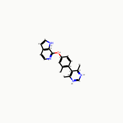 Cc1cc(Oc2nccc3cc[nH]c23)ccc1-c1c(C)ncnc1C